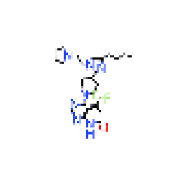 CCCCc1cn(CCN2CCCC2)c(C2CCN(c3ncnc4c3[C@H](C(F)F)CC(=O)N4)CC2)n1